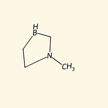 CN1CBCC1